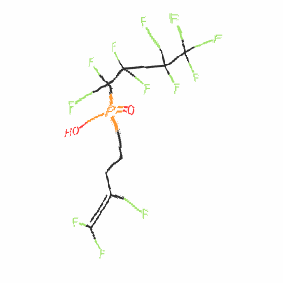 O=P(O)(CCC(F)=C(F)F)C(F)(F)C(F)(F)C(F)(F)C(F)(F)F